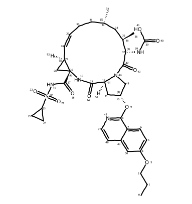 CCCOc1ccc2c(O[C@@H]3C[C@H]4C(=O)N[C@]5(C(=O)NS(=O)(=O)C6CC6)C[C@H]5C=CCC[C@H](C)C[C@@H](C)[C@H](NC(=O)O)C(=O)N4C3)nccc2c1